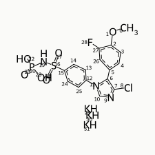 COc1ccc(-c2c(Cl)ncn2-c2ccc(S(=O)(=O)NP(=O)(O)O)cc2)cc1F.[KH].[KH].[KH]